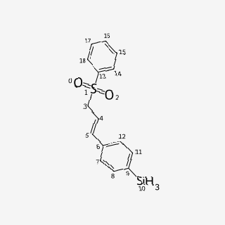 O=S(=O)(CC=Cc1ccc([SiH3])cc1)c1ccccc1